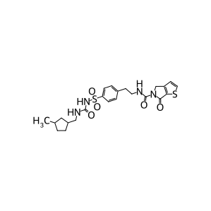 CC1CCC(CNC(=O)NS(=O)(=O)c2ccc(CCNC(=O)N3Cc4ccsc4C3=O)cc2)C1